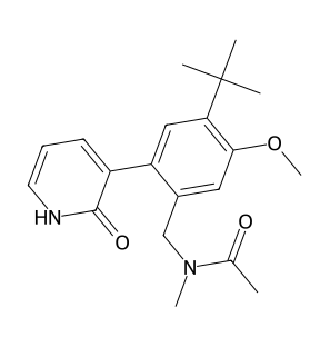 COc1cc(CN(C)C(C)=O)c(-c2ccc[nH]c2=O)cc1C(C)(C)C